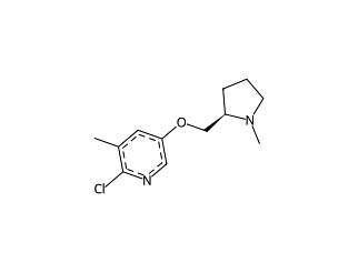 Cc1cc(OC[C@H]2CCCN2C)cnc1Cl